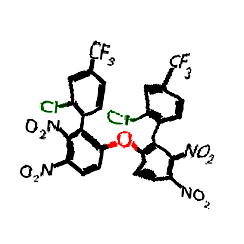 O=[N+]([O-])c1ccc(Oc2ccc([N+](=O)[O-])c([N+](=O)[O-])c2-c2ccc(C(F)(F)F)cc2Cl)c(-c2ccc(C(F)(F)F)cc2Cl)c1[N+](=O)[O-]